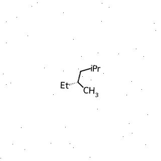 CC[C@@H](C)CC(C)C